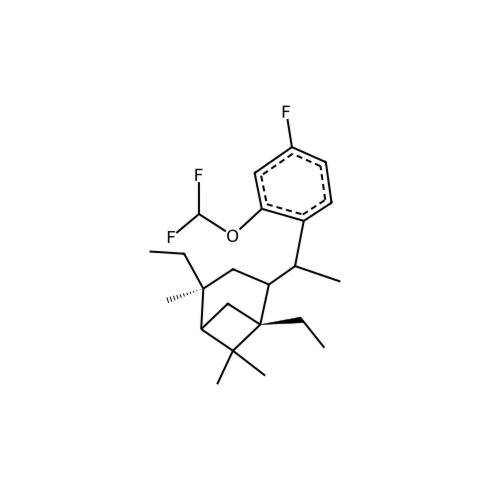 CC[C@@]1(C)CC(C(C)c2ccc(F)cc2OC(F)F)[C@@]2(CC)CC1C2(C)C